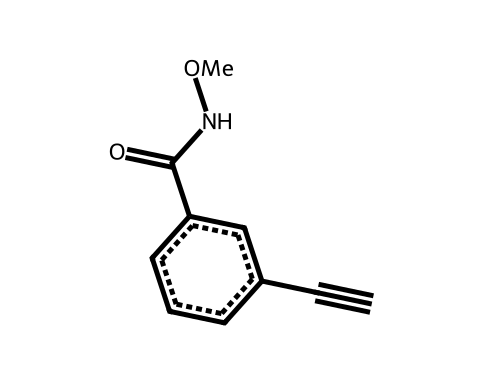 C#Cc1cccc(C(=O)NOC)c1